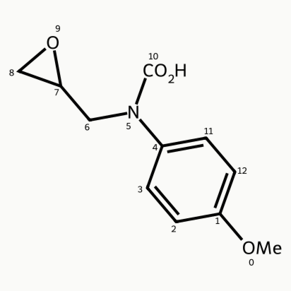 COc1ccc(N(CC2CO2)C(=O)O)cc1